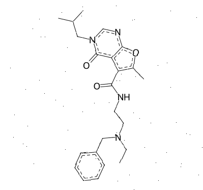 CCN(CCNC(=O)c1c(C)oc2ncn(CC(C)C)c(=O)c12)Cc1ccccc1